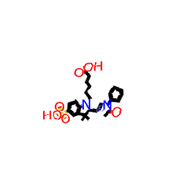 CC(=O)N(/C=C/C1N(CCCCCC(=O)O)c2ccc(S(=O)(=O)O)cc2C1(C)C)c1ccccc1